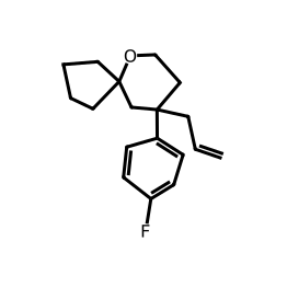 C=CCC1(c2ccc(F)cc2)CCOC2(CCCC2)C1